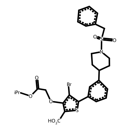 CC(C)OC(=O)COc1c(C(=O)O)sc(-c2cccc(C3CCN(S(=O)(=O)Cc4ccccc4)CC3)c2)c1Br